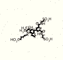 CC1=[N+](CCCCCC(=O)O)c2c(cc(-c3cc(C(=O)NCCS(=O)(=O)O)nc(C(=O)NCCS(=O)(=O)O)c3)c3sccc23)C1(C)C